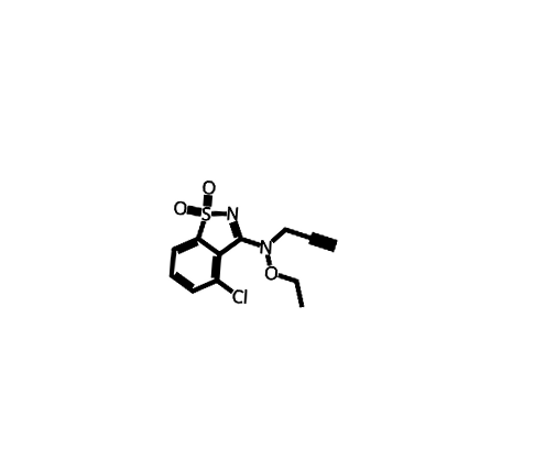 C#CCN(OCC)C1=NS(=O)(=O)c2cccc(Cl)c21